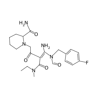 CCN(C)C(=O)/C(C(=O)CN1CCCCC1C(N)=O)=C(/N)N(C=O)Cc1ccc(F)cc1